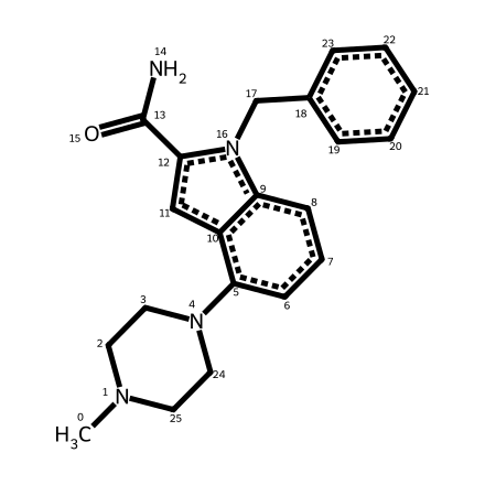 CN1CCN(c2cccc3c2cc(C(N)=O)n3Cc2ccccc2)CC1